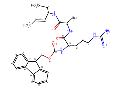 CCOC(=O)/C=C/C(CC(=O)O)NC(=O)C(NC(=O)[C@H](CCCNC(=N)N)NC(O)OCC1c2ccccc2-c2ccccc21)C(C)CC